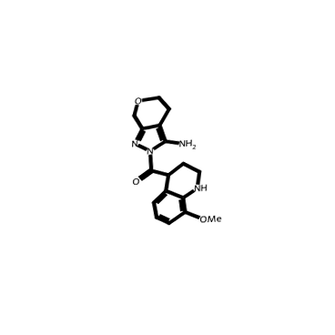 COc1cccc2c1NCCC2C(=O)n1nc2c(c1N)CCOC2